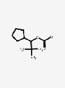 CCC(=O)OC(C1CCCC1)C(C)(C(F)(F)F)C(F)(F)F